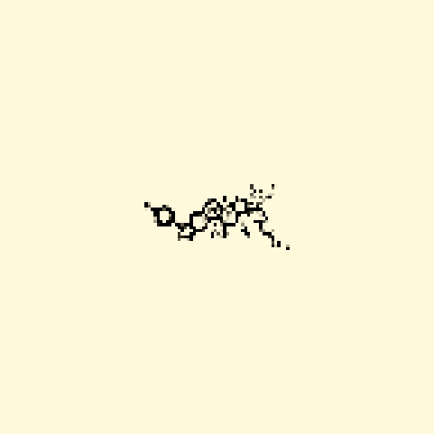 COCC(=O)O[C@]1(C(=O)SCF)[C@H](C)C[C@H]2[C@@H]3CCC4=Cc5c(cnn5-c5ccc(F)nc5)C[C@]4(C)[C@@]3(F)[C@@H](O)C[C@@]21C